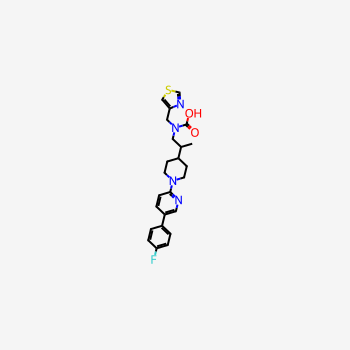 CC(CN(Cc1cscn1)C(=O)O)C1CCN(c2ccc(-c3ccc(F)cc3)cn2)CC1